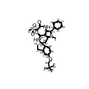 Cn1c2c(c(NC(=O)CS(C)(=O)=O)c1-c1ccccc1)C(=O)N[C@@]1(CCc3cc(OCC(F)(F)F)ccc31)C2